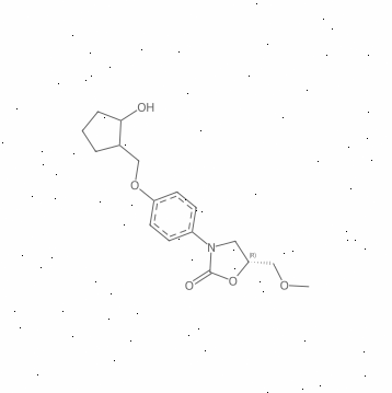 COC[C@H]1CN(c2ccc(OCC3CCCC3O)cc2)C(=O)O1